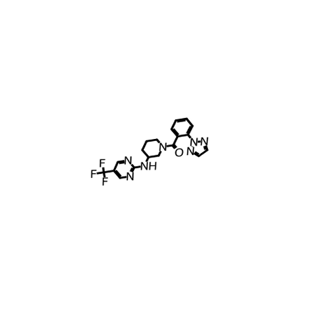 O=C(c1ccccc1-n1nccn1)N1CCCC(Nc2ncc(C(F)(F)F)cn2)C1